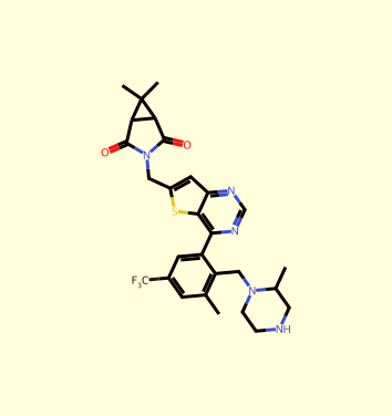 Cc1cc(C(F)(F)F)cc(-c2ncnc3cc(CN4C(=O)C5C(C4=O)C5(C)C)sc23)c1CN1CCNCC1C